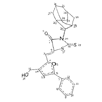 O=C1C(=Cc2oc(-c3ccccc3)cc2CO)SC(=S)N1C1C2CC3CC(C2)CC1C3